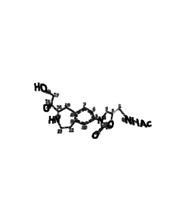 CC(=O)NC[C@H]1CN(c2ccc3c(c2)CCNC(C(=O)CO)C3)C(=O)O1